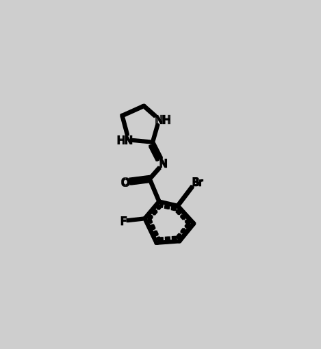 O=C(N=C1NCCN1)c1c(F)cccc1Br